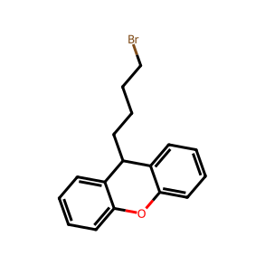 BrCCCCC1c2ccccc2Oc2ccccc21